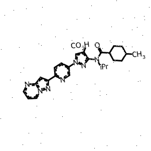 CC1CCC(C(=O)N(c2nn(-c3ccc(-c4cc5ncccn5n4)nc3)cc2C(=O)O)C(C)C)CC1